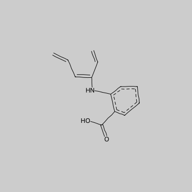 C=C/C=C(\C=C)Nc1ccccc1C(=O)O